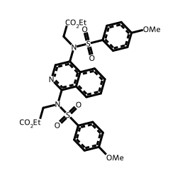 CCOC(=O)CN(c1cnc(N(CC(=O)OCC)S(=O)(=O)c2ccc(OC)cc2)c2ccccc12)S(=O)(=O)c1ccc(OC)cc1